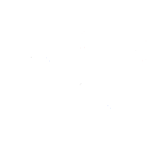 CC1(C)CN(c2ccc3c(c2)[Si]2(CCCCC2)C2=CC(=[N+]4CC(C)(C)C4)C=CC2=C3c2cc(C(=O)O)ccc2C(=O)O)C1.O=C([O-])C(F)(F)F